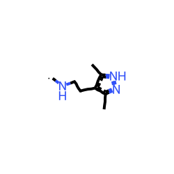 [CH2]NCCc1c(C)n[nH]c1C